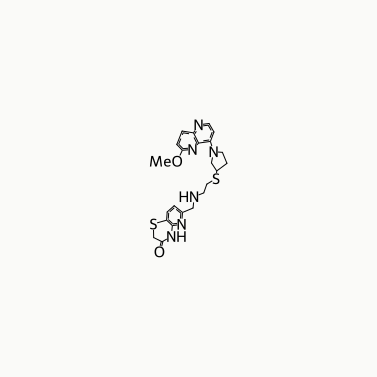 COc1ccc2nccc(N3CCC(SCCNCc4ccc5c(n4)NC(=O)CS5)C3)c2n1